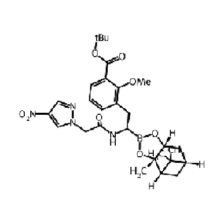 COc1c(C[C@H](NC(=O)Cn2cc([N+](=O)[O-])cn2)B2O[C@@H]3C[C@@H]4C[C@@H](C4(C)C)[C@]3(C)O2)cccc1C(=O)OC(C)(C)C